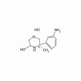 C[C@@]1(c2cccc(N)c2)COCC(O)N1.Cl